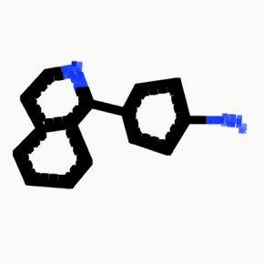 Nc1ccc(-c2nccc3ccccc23)cc1